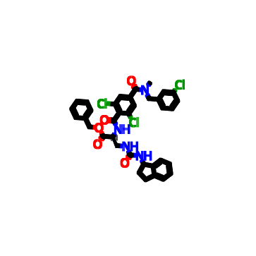 CN(Cc1cccc(Cl)c1)C(=O)c1cc(Cl)c(C(=O)N[C@@H](CNC(=O)NC2CCc3ccccc32)C(=O)OCc2ccccc2)c(Cl)c1